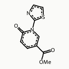 COC(=O)c1ccc(=O)n(-c2nccs2)c1